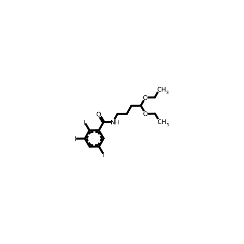 CCOC(CCCNC(=O)c1cc(I)cc(I)c1I)OCC